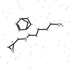 C1=CC2CCC1C2.CCCCCCOCC1CO1